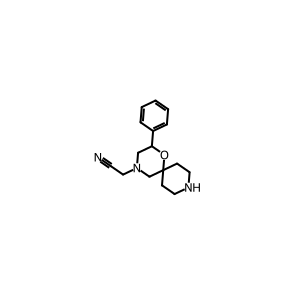 N#CCN1CC(c2ccccc2)OC2(CCNCC2)C1